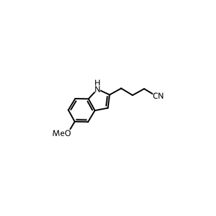 COc1ccc2[nH]c(CCCC#N)cc2c1